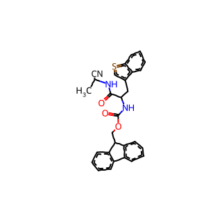 CC(C#N)NC(=O)C(Cc1csc2ccccc12)NC(=O)OCC1c2ccccc2-c2ccccc21